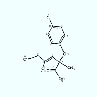 CC(C=C(Cl)CCl)(Oc1ccc(Cl)cc1)C(=O)O